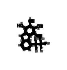 Oc1c(O)c(O)c2c(c1O)Cc1cccc(C(F)(F)C(F)(F)F)c1-2